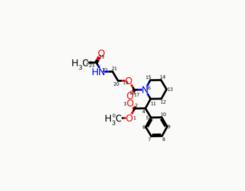 COC(=O)C(c1ccccc1)C1CCCCN1C(=O)OCCNC(C)=O